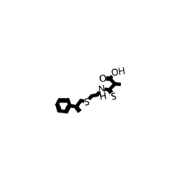 C=C(CSCCNC(=S)C(C)C(=O)O)c1ccccc1